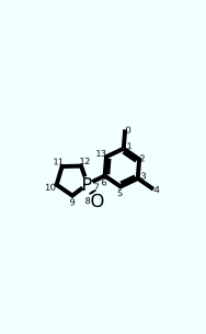 Cc1cc(C)cc(P2(=O)CCCC2)c1